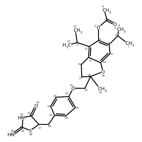 CC(=O)Oc1c(C(C)C)cc2c(c1C(C)C)CCC(C)(COc1ccc(CC3SC(=N)NC3=O)cc1)O2